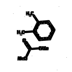 COC(=O)OC.Cc1ccccc1C